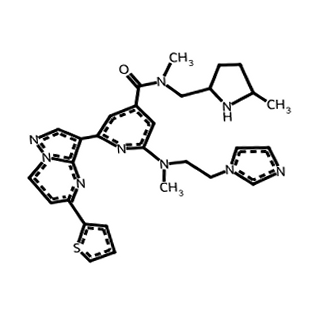 CC1CCC(CN(C)C(=O)c2cc(-c3cnn4ccc(-c5cccs5)nc34)nc(N(C)CCn3ccnc3)c2)N1